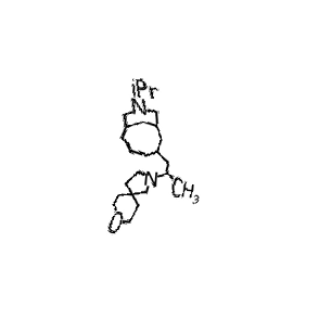 CC(C)N1CC2CCCC(CC(C)N3CCC4(CCOCC4)C3)CC(C2)C1